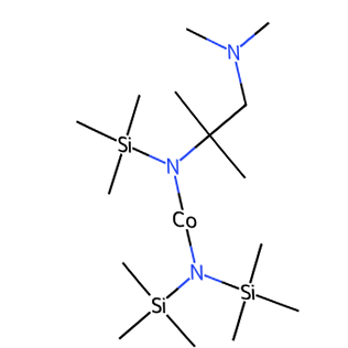 CN(C)CC(C)(C)[N]([Co][N]([Si](C)(C)C)[Si](C)(C)C)[Si](C)(C)C